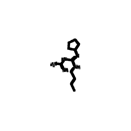 CCCCNC(=NC1CCCC1)NC(=N)N